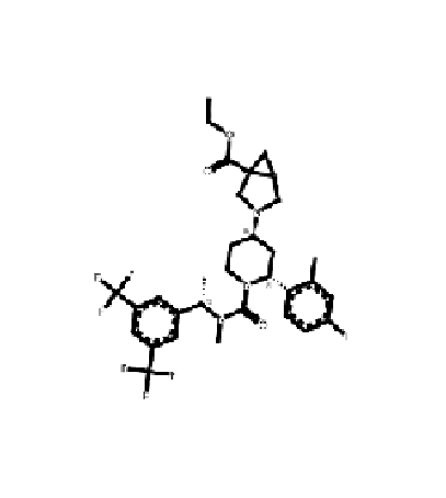 CCOC(=O)C12CC1CN([C@@H]1CCN(C(=O)N(C)[C@@H](C)c3cc(C(F)(F)F)cc(C(F)(F)F)c3)[C@@H](c3ccc(F)cc3C)C1)C2